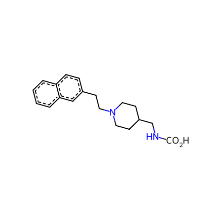 O=C(O)NCC1CCN(CCc2ccc3ccccc3c2)CC1